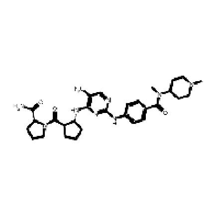 CN1CCC(N(C)C(=O)c2ccc(Nc3ncc(C(F)(F)F)c(N[C@@H]4CCCC4C(=O)N4CCC[C@H]4C(N)=O)n3)cc2)CC1